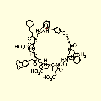 NC(=O)CN1C[C@H](Cc2ccccc2)NC(=O)CN(C(=O)CCC(=O)O)C[C@H](CCC(=O)O)NC(=O)CN(C(=O)Cc2ccc3c(c2)OCO3)C[C@H](CCC(=O)O)NC(=O)CN(C(=O)CCC2CCCCC2)C[C@H](Cc2ccccc2)NC(=O)c2ccc(cc2)CSCCC1=O